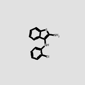 CCc1ccccc1Nc1c(N)sc2ccccc12